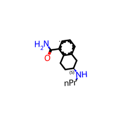 CCCN[C@H]1CCc2c(C(N)=O)[c]ccc2C1